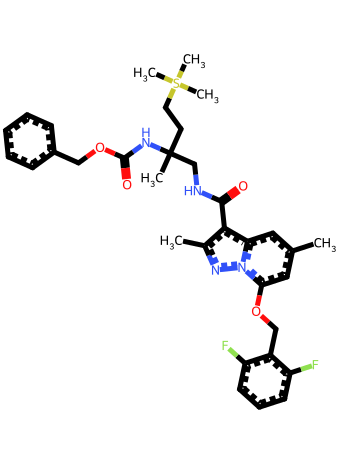 Cc1cc(OCc2c(F)cccc2F)n2nc(C)c(C(=O)NCC(C)(CCS(C)(C)C)NC(=O)OCc3ccccc3)c2c1